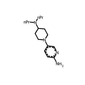 CCCN(CCC)C1CCN(c2ccc(N)nc2)CC1